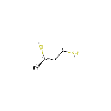 CC(C)[C@@H](S)CCS